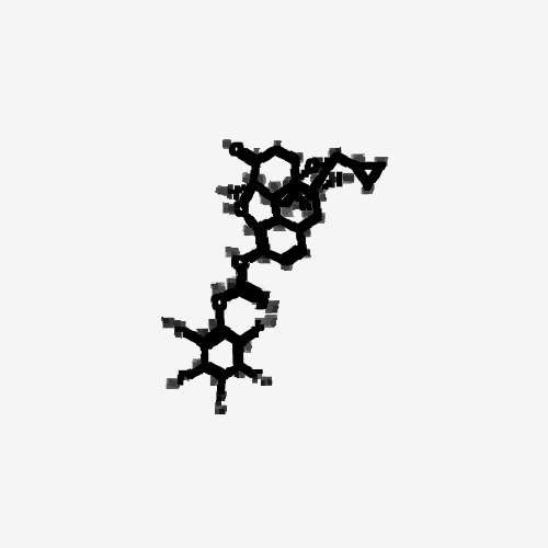 O=C1CC[C@@]2(O)[C@H]3CC4C=CC(OC(=S)Oc5c(F)c(F)c(F)c(F)c5F)=C5O[C@@H]1[C@]2(CCN3CC1CC1)C54